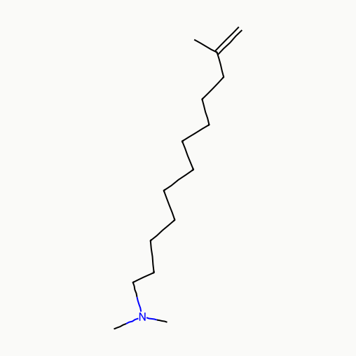 C=C(C)CCCCCCCCCCN(C)C